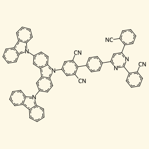 N#Cc1ccccc1-c1cc(-c2ccc(-c3c(C#N)cc(-n4c5ccc(-n6c7ccccc7c7ccccc76)cc5c5cc(-n6c7ccccc7c7ccccc76)ccc54)cc3C#N)cc2)nc(-c2ccccc2C#N)n1